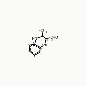 CC1Nc2ccccc2NC1C=O